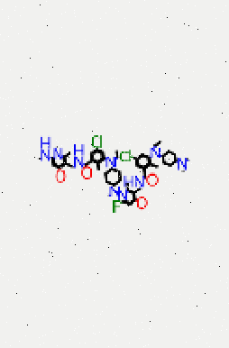 CCN(c1cc(Cl)cc(C(=O)NCc2c(C)n(N(C)[C@H]3CC[C@H](N(CC)c4cc(Cl)cc(C(=O)NCc5c(C)n(C)c(NC)cc5=O)c4C)CC3)c(F)cc2=O)c1C)[C@H]1CC[C@H](N(C)C)CC1